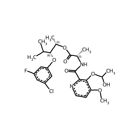 COc1ccnc(C(=O)N[C@@H](C)C(=O)O[C@@H](C)[C@H](Oc2cc(F)cc(Cl)c2)C(C)C)c1OC(C)O